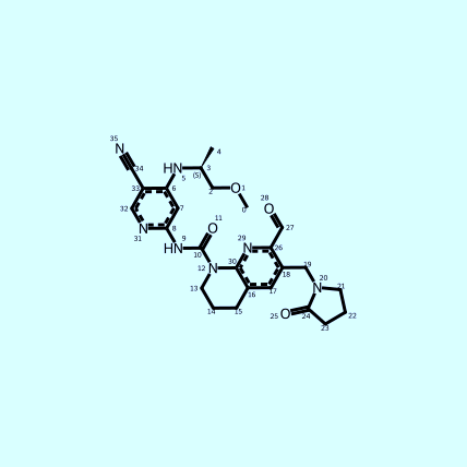 COC[C@H](C)Nc1cc(NC(=O)N2CCCc3cc(CN4CCCC4=O)c(C=O)nc32)ncc1C#N